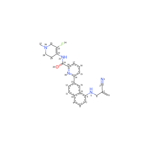 C=C(C#N)CNc1cccc2ccc(-c3cccc(C(=O)NC4=C(F)CN(C)CC4)n3)cc12